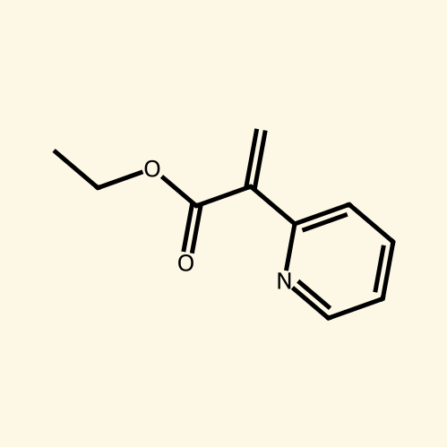 C=C(C(=O)OCC)c1ccccn1